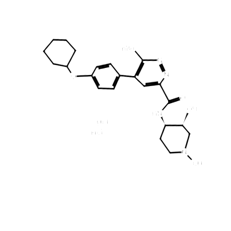 CCCCc1nnc(C(=O)N[C@@H]2CCN(C)C[C@@H]2O)cc1-c1ccc(OC2CCCCC2)cc1.Cl.Cl